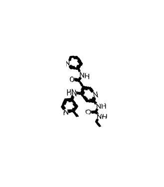 CCNC(=O)Nc1cc(Nc2ccnc(C)c2)c(C(=O)Nc2cccnc2)cn1